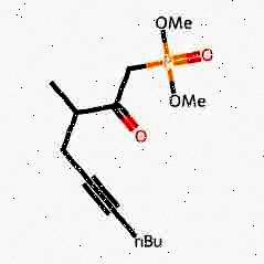 CCCCC#CCC(C)C(=O)CP(=O)(OC)OC